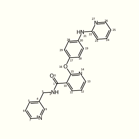 O=C(NCc1cccnc1)c1cccnc1Oc1ccc(Nc2ccccn2)cc1